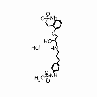 CS(=O)(=O)Nc1ccc(CCCNCC(O)COc2cccc3c2CCS(=O)(=O)N3)cc1.Cl